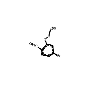 CC(C)c1ccc(C=O)c(OOC(C)(C)C)c1